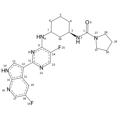 O=C(N[C@@H]1CCCC(Nc2nc(-c3c[nH]c4ncc(F)cc34)ncc2F)C1)N1CCCC1